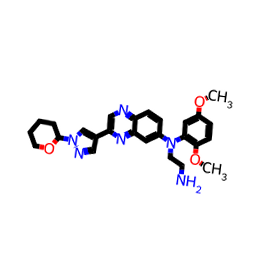 COc1ccc(OC)c(N(CCN)c2ccc3ncc(-c4cnn(C5CCCCO5)c4)nc3c2)c1